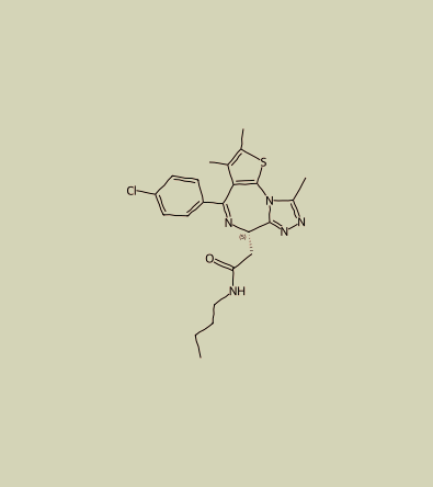 CCCCNC(=O)C[C@@H]1N=C(c2ccc(Cl)cc2)c2c(sc(C)c2C)-n2c(C)nnc21